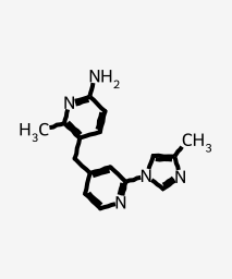 Cc1cn(-c2cc(Cc3ccc(N)nc3C)ccn2)cn1